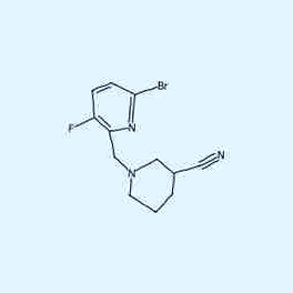 N#CC1CCCN(Cc2nc(Br)ccc2F)C1